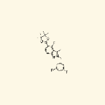 Cc1c2c(F)c(B3OC(C)(C)C(C)(C)O3)ccc2nn1Cc1cc(F)cc(F)c1